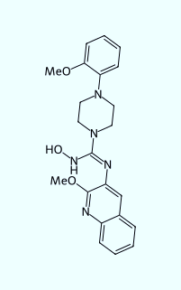 COc1ccccc1N1CCN(C(=Nc2cc3ccccc3nc2OC)NO)CC1